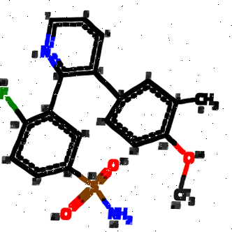 Cc1cc(-c2cccnc2-c2cc(S(N)(=O)=O)ccc2F)ccc1OC(F)(F)F